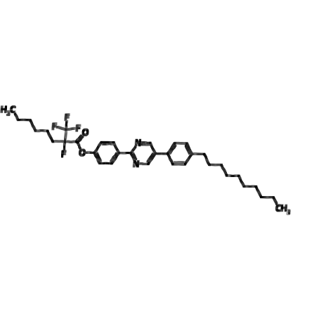 CCCCCCCCCCc1ccc(-c2cnc(-c3ccc(OC(=O)C(F)(CCCCCC)C(F)(F)F)cc3)nc2)cc1